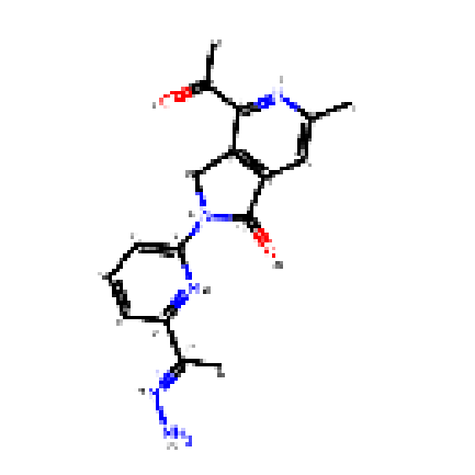 CC(=O)c1nc(C)cc2c1CN(c1cccc(/C(C)=N/N)n1)C2=O